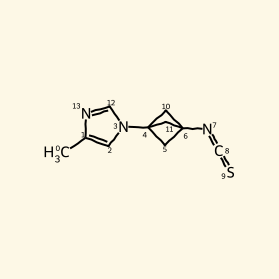 Cc1cn(C23CC(N=C=S)(C2)C3)cn1